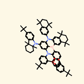 CC(C)(C)c1ccc(N2c3cc(N4c5ccc(C(C)(C)C)cc5C5(C)CCCCC45C)cc4c3B(c3cc5c(cc3N4c3ccc4c(c3)C(C)(C)CCC4(C)C)C(C)(C)CCC5(C)C)c3ccc4c(oc5ccc(C(C)(C)C)cc54)c32)c(-c2ccccc2)c1